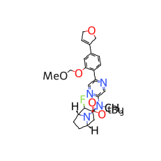 COCOc1cc(C2=CCOC2)ccc1-c1cnc(N(C)[C@H]2C[C@@H]3CC[C@H]([C@H]2F)N3C(=O)OC(C)(C)C)cn1